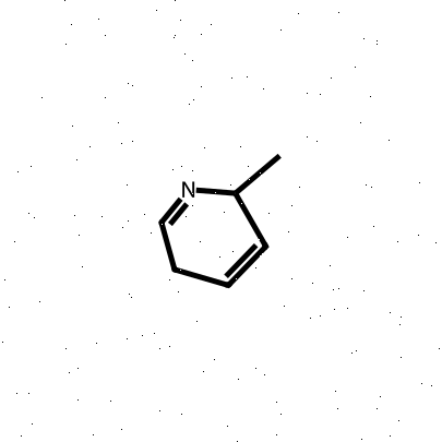 CC1C=CCC=N1